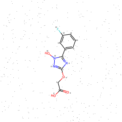 O=C(O)COc1nc(-c2cccc(F)c2)n(O)n1